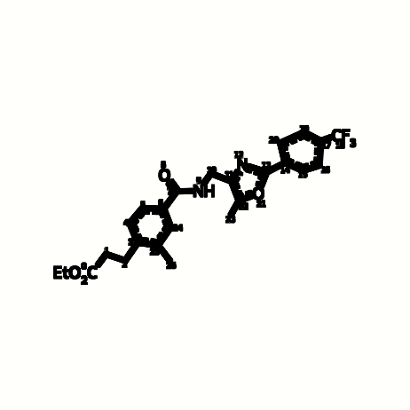 CCOC(=O)CCc1ccc(C(=O)NCc2nc(-c3ccc(C(F)(F)F)cc3)oc2C)cc1C